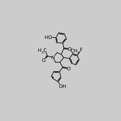 CC(=O)N1CC(C(=O)c2cccc(O)c2)C(c2cccc(F)c2C)C(C(=O)c2cccc(O)c2)C1